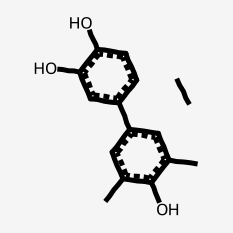 CC.Cc1cc(-c2ccc(O)c(O)c2)cc(C)c1O